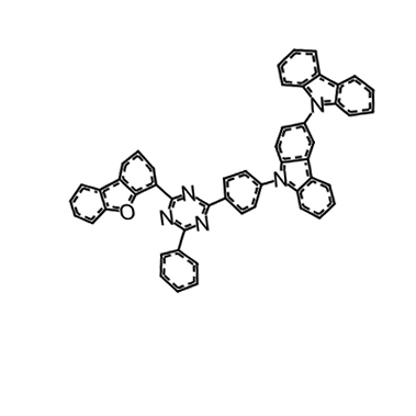 c1ccc(-c2nc(-c3ccc(-n4c5ccccc5c5cc(-n6c7ccccc7c7ccccc76)ccc54)cc3)nc(-c3cccc4c3oc3ccccc34)n2)cc1